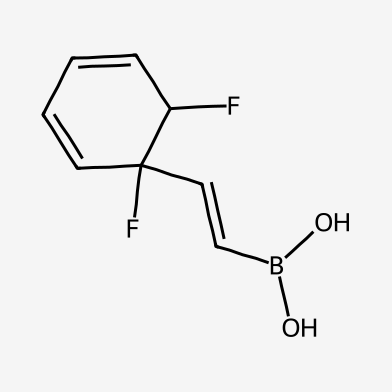 OB(O)C=CC1(F)C=CC=CC1F